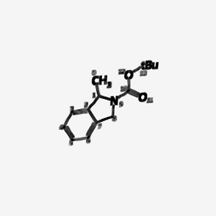 CC1c2ccccc2CN1C(=O)OC(C)(C)C